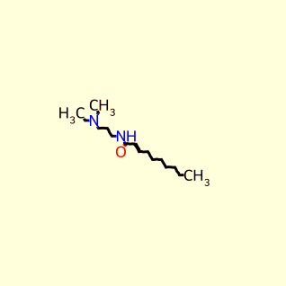 CCCCCCC/C=C/C(=O)NCCCN(CC)CC